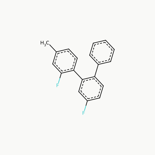 Cc1ccc(-c2cc(F)ccc2-c2ccccc2)c(F)c1